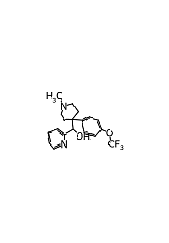 CN1CCC(c2ccc(OC(F)(F)F)cc2)(C(O)c2ccccn2)CC1